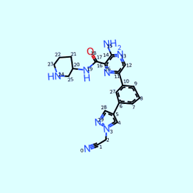 N#CCn1cc(-c2cccc(-c3cnc(N)c(C(=O)NC4CCCNC4)n3)c2)cn1